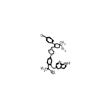 C=C(NS)c1ccc(N2CCN(CC3=C(c4ccc(Cl)cc4)CC(C)(C)CC3)CC2)cc1Cc1cnc2[nH]ccc2c1